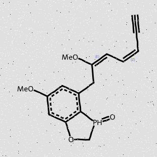 C#C/C=C\C=C(/Cc1cc(OC)cc2c1[PH](=O)CO2)OC